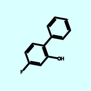 Oc1cc(F)ccc1-c1cc[c]cc1